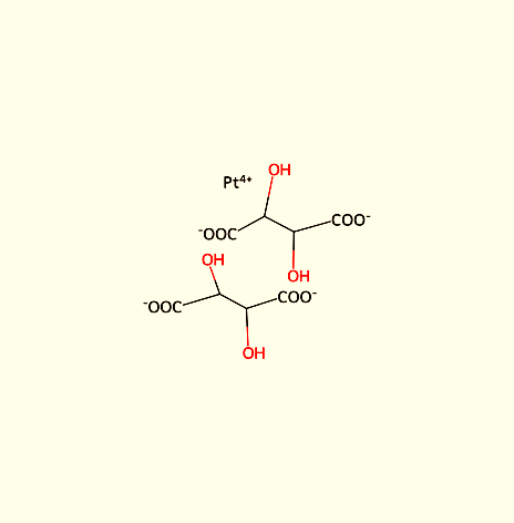 O=C([O-])C(O)C(O)C(=O)[O-].O=C([O-])C(O)C(O)C(=O)[O-].[Pt+4]